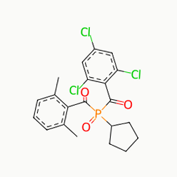 Cc1cccc(C)c1C(=O)P(=O)(C(=O)c1c(Cl)cc(Cl)cc1Cl)C1CCCC1